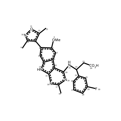 COc1cc2c(cc1-c1c(C)noc1C)[nH]c1nc(C)nc(NC(CC(=O)O)c3cccc(F)c3)c12